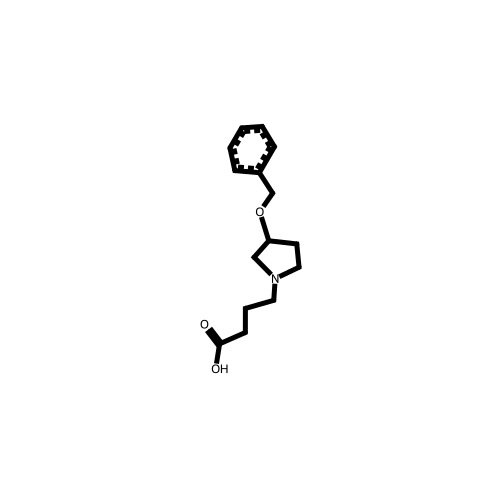 O=C(O)CCCN1CCC(OCc2ccccc2)C1